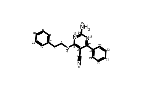 N#Cc1c(SCCc2ccccc2)nc(N)nc1-c1ccccc1